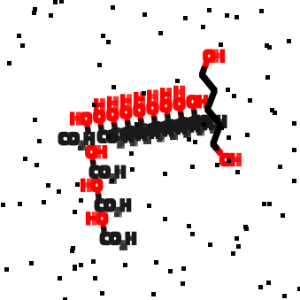 O=C(O)O.O=C(O)O.O=C(O)O.O=C(O)O.O=C(O)O.O=C(O)O.O=C(O)O.O=C(O)O.O=C(O)O.O=C(O)O.O=C(O)O.O=C(O)O.OCCCCCO